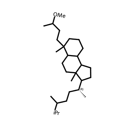 COC(C)CCC1(C)CCCC2C1CCC1(C)C2CCC1[C@H](C)CCC(C)C(C)C